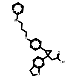 O=C(O)CC1(c2ccc3c(c2)OCC3)CC1c1ccc(OCCCNc2ccccn2)cc1